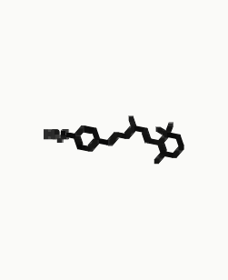 CC(C=CC1=C(C)CCCC1(C)C)=CC=Cc1ccc(C(=O)O)cc1